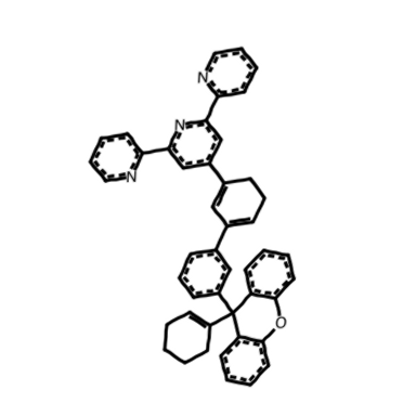 C1=C(c2cccc(C3(C4=CCCCC4)c4ccccc4Oc4ccccc43)c2)C=C(c2cc(-c3ccccn3)nc(-c3ccccn3)c2)CC1